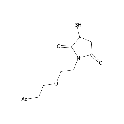 CC(=O)CCOCCN1C(=O)CC(S)C1=O